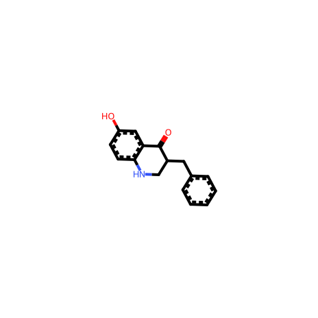 O=C1c2cc(O)ccc2NCC1Cc1ccccc1